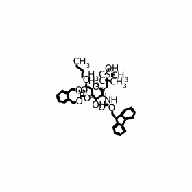 CCCCOCC1O[C@@H](CC(C)(C)[Si](C)(C)O)[C@@H](NC(=O)OCC2c3ccccc3-c3ccccc32)C(O)[C@@H]1OP1(=O)OCc2ccccc2CO1